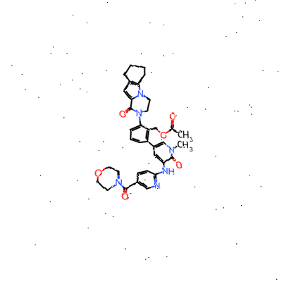 CC(=O)OCc1c(-c2cc(Nc3ccc(C(=O)N4CCOCC4)cn3)c(=O)n(C)c2)cccc1N1CCn2c(cc3c2CCCC3)C1=O